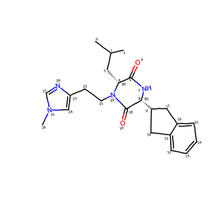 CC(C)C[C@@H]1C(=O)N[C@H](C2Cc3ccccc3C2)C(=O)N1CCc1cn(C)cn1